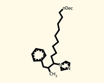 CCCCCCCCCCCCCCCCCCCC(C(C)Cc1ccccc1)n1ccnc1